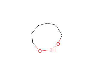 B1OCCCCCCO1